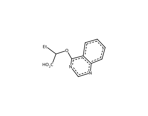 CCC(Oc1ncnc2ccccc12)C(=O)O